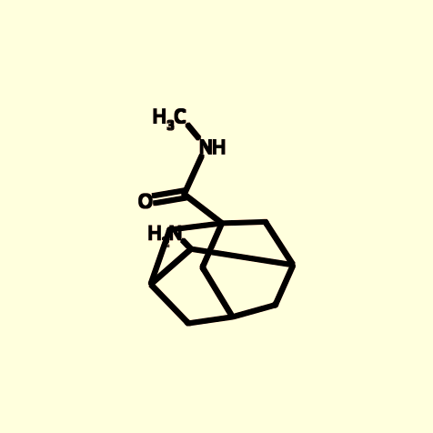 CNC(=O)C12CC3CC(C1)C(N)C(C3)C2